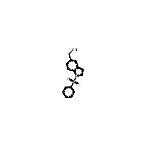 O=S(=O)(c1ccccc1)n1ccc2cc(CO)ccc21